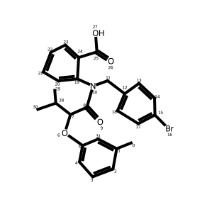 Cc1cccc(OC(C(=O)N(Cc2ccc(Br)cc2)c2ccccc2C(=O)O)C(C)C)c1